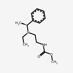 CCN(CCNC(=O)OC)[C@@H](C)c1ccccc1